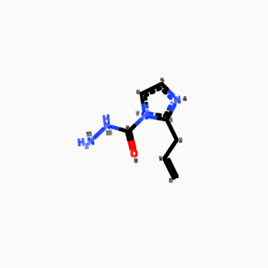 C=CCc1nccn1C(=O)NN